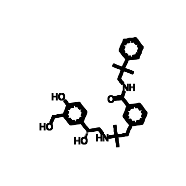 CC(C)(Cc1cccc(C(=O)NCC(C)(C)c2ccccc2)c1)NC[C@H](O)c1ccc(O)c(CO)c1